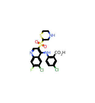 O=C(O)c1cc(Cl)ccc1Nc1c(S(=O)(=O)C2CNCCS2)cnc2cc(F)c(Cl)cc12